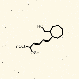 CCCCCCCCC(/C=C/C=C/C1CCCCCC1CO)OC(C)=O